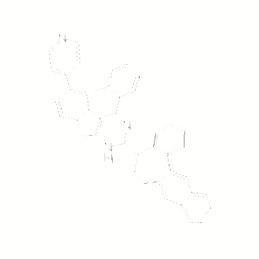 CC1C=CC=CC1C1=NC(C2CCc3cc4ccccc4cc3-c3ccccc32)NC2=C1C1C=C(c3ccncc3)C=CC1S2